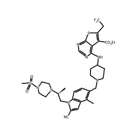 CCOC(=O)c1c(CC(F)(F)F)sc2ncnc(NC3CCN(Cc4ccc5c(cc(C#N)n5C[C@H](C)N5CCN(S(C)(=O)=O)CC5)c4C)CC3)c12